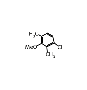 COc1c(C)c[c]c(Cl)c1C